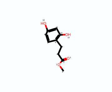 COC(=O)CCc1ccc(O)cc1O